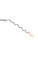 CCCCCCCCCCCCCCCCCOP